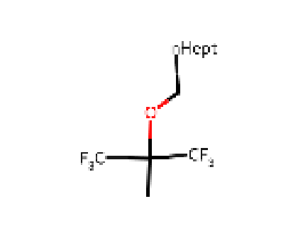 CCCCCCCCOC(C)(C(F)(F)F)C(F)(F)F